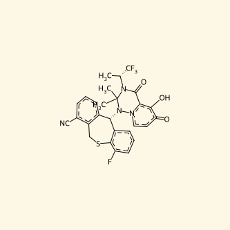 C[C@@H](N1C(=O)c2c(O)c(=O)ccn2N([C@H]2c3cccc(C#N)c3CSc3c(F)cccc32)C1(C)C)C(F)(F)F